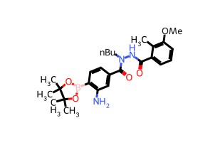 CCCCN(NC(=O)c1cccc(OC)c1C)C(=O)c1ccc(B2OC(C)(C)C(C)(C)O2)c(N)c1